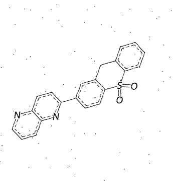 O=S1(=O)c2ccccc2Cc2cc(-c3ccc4ncccc4n3)ccc21